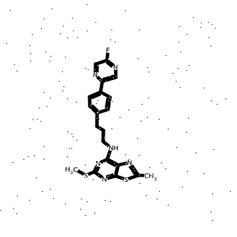 CSc1nc(NCCCc2ccc(-c3cnc(F)cn3)cc2)c2nc(C)sc2n1